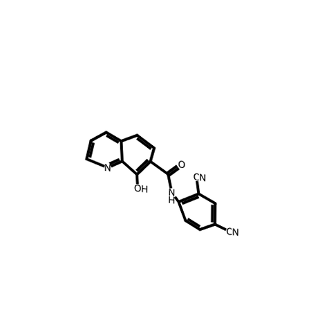 N#Cc1ccc(NC(=O)c2ccc3cccnc3c2O)c(C#N)c1